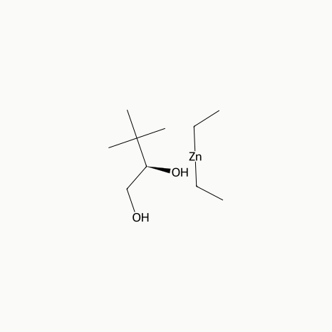 CC(C)(C)[C@@H](O)CO.C[CH2][Zn][CH2]C